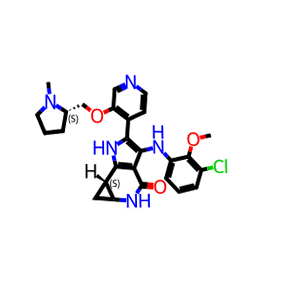 COc1c(Cl)cccc1Nc1c(-c2ccncc2OC[C@@H]2CCCN2C)[nH]c2c1C(=O)NC1C[C@H]21